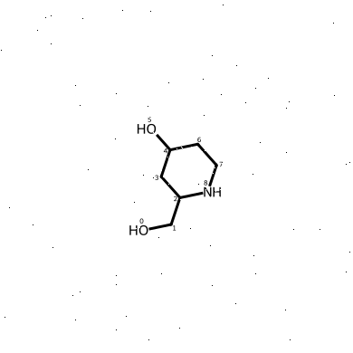 OCC1CC(O)CCN1